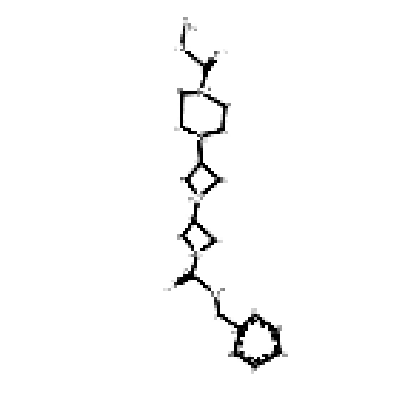 CC(C)(C)OC(=O)N1CCN(C2CN(C3CN(C(=O)OCc4ccccc4)C3)C2)CC1